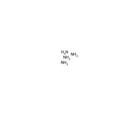 N.N.N.N